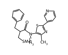 CSCC(Cc1ccccc1)C(=O)N(C)c1sc(-c2cccnc2)nc1C